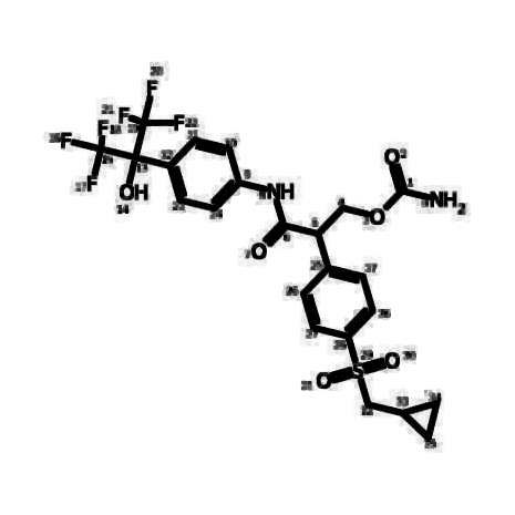 NC(=O)OCC(C(=O)Nc1ccc(C(O)(C(F)(F)F)C(F)(F)F)cc1)c1ccc(S(=O)(=O)CC2CC2)cc1